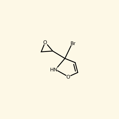 BrC1(C2CO2)C=CON1